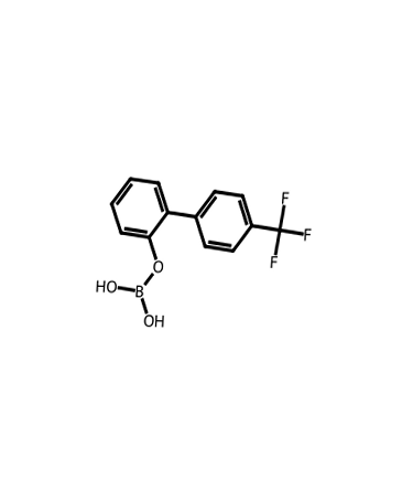 OB(O)Oc1ccccc1-c1ccc(C(F)(F)F)cc1